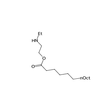 CCCCCCCCCCCCCC(=O)OCCNCC